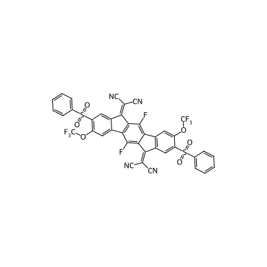 N#CC(C#N)=C1c2cc(S(=O)(=O)c3ccccc3)c(OC(F)(F)F)cc2-c2c(F)c3c(c(F)c21)-c1cc(OC(F)(F)F)c(S(=O)(=O)c2ccccc2)cc1C3=C(C#N)C#N